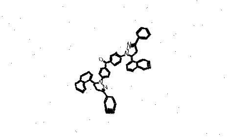 O=C(c1ccc(N2N=C(c3ccccc3)CC2c2cccc3ccccc23)cc1)c1ccc(N2N=C(c3ccccc3)CC2c2cccc3ccccc23)cc1